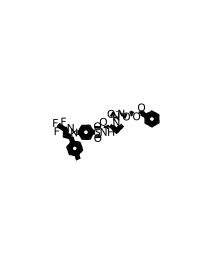 Cc1ccc(-c2cc(C(F)(F)F)nn2-c2ccc(S(=O)(=O)NC(=O)[C@@H]3CCN3/[N+]([O-])=N\OCOC(=O)c3ccccc3)cc2)cc1